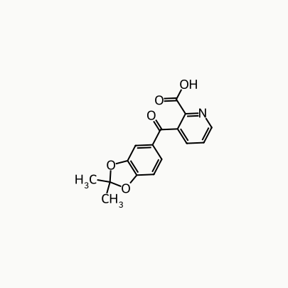 CC1(C)Oc2ccc(C(=O)c3cccnc3C(=O)O)cc2O1